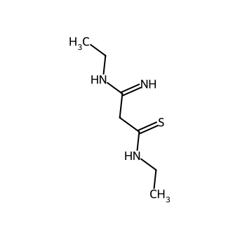 CCNC(=N)CC(=S)NCC